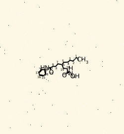 CCCCCCC(CCCC(=O)Nc1ccccc1)CCC(=O)NO